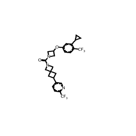 O=C(N1CC(Oc2ccc(C(F)(F)F)c(C3CC3)c2)C1)N1CC2(CC(c3ccc(C(F)(F)F)nc3)C2)C1